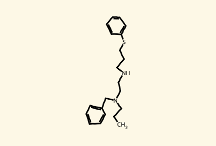 CCCN(CCNCCCSc1ccccc1)Cc1ccccc1